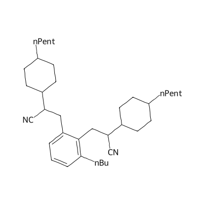 CCCCCC1CCC(C(C#N)Cc2cccc(CCCC)c2CC(C#N)C2CCC(CCCCC)CC2)CC1